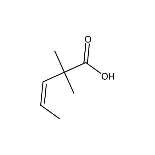 C/C=C\C(C)(C)C(=O)O